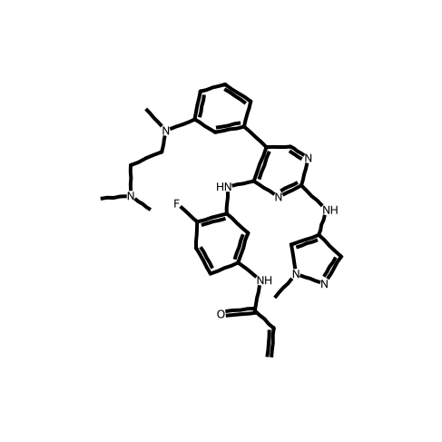 C=CC(=O)Nc1ccc(F)c(Nc2nc(Nc3cnn(C)c3)ncc2-c2cccc(N(C)CCN(C)C)c2)c1